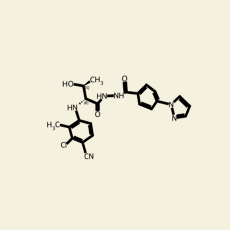 Cc1c(N[C@@H](C(=O)NNC(=O)c2ccc(-n3cccn3)cc2)[C@H](C)O)ccc(C#N)c1Cl